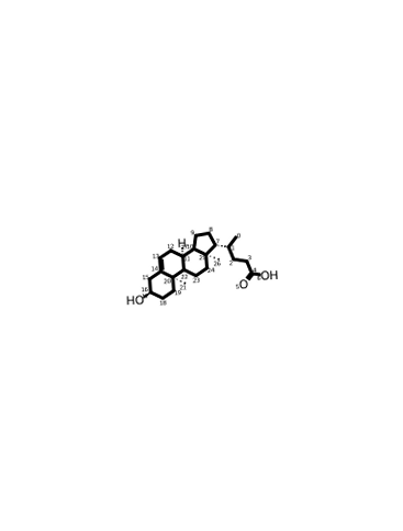 CC(CCC(=O)O)[C@H]1CCC2[C@@H]3CC=C4C[C@H](O)CC[C@]4(C)C3CC[C@@]21C